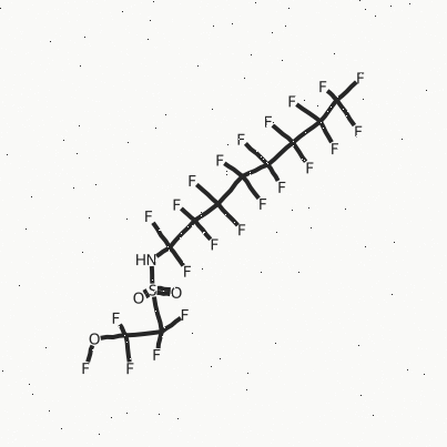 O=S(=O)(NC(F)(F)C(F)(F)C(F)(F)C(F)(F)C(F)(F)C(F)(F)C(F)(F)C(F)(F)F)C(F)(F)C(F)(F)OF